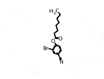 CCCCCCCC(=O)Oc1ccc(C#N)cc1Br